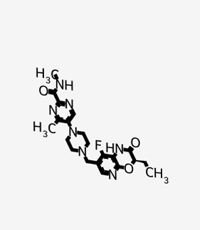 CC[C@H]1Oc2ncc(CN3CCN(c4cnc(C(=O)NC)nc4C)CC3)c(F)c2NC1=O